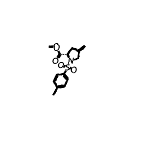 C=C1C[C@@H](C(=O)OC)N(S(=O)(=O)c2ccc(C)cc2)C1